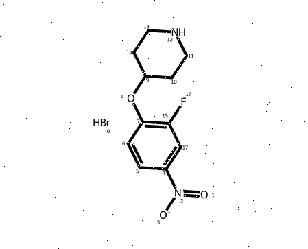 Br.O=[N+]([O-])c1ccc(OC2CCNCC2)c(F)c1